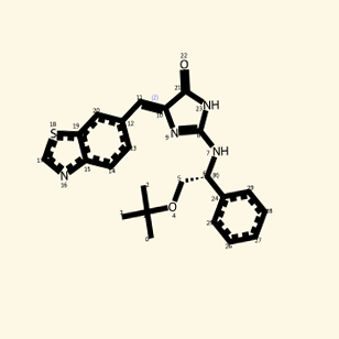 CC(C)(C)OC[C@H](NC1=N/C(=C\c2ccc3ncsc3c2)C(=O)N1)c1ccccc1